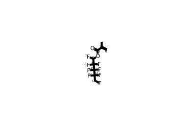 C=C(C)C(=O)OC(F)C(F)(F)C(F)(F)C(F)(F)CF